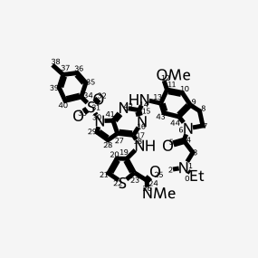 CCN(C)CC(=O)N1CCc2cc(OC)c(Nc3nc(Nc4ccsc4C(=O)NC)c4ccn(S(=O)(=O)c5ccc(C)cc5)c4n3)cc21